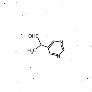 CC(C=O)c1cncnc1